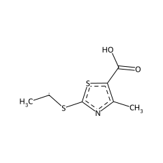 C[CH]Sc1nc(C)c(C(=O)O)s1